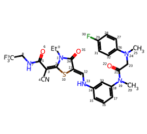 CCn1c(=C(C#N)C(=O)NCC(F)(F)F)sc(=CNc2cccc(N(C)C(=O)CN(C)c3ccc(F)cc3)c2)c1=O